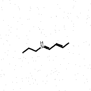 CC=CC=[SiH]CCC